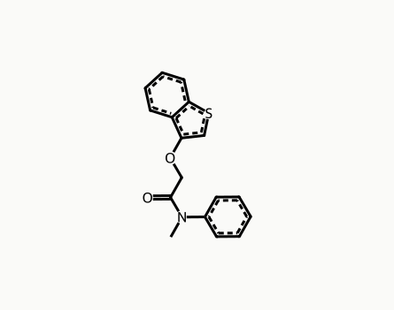 CN(C(=O)COc1csc2ccccc12)c1ccccc1